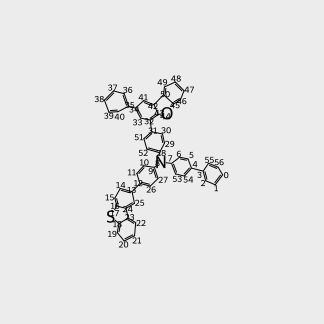 c1ccc(-c2ccc(N(c3ccc(-c4ccc5sc6ccccc6c5c4)cc3)c3ccc(-c4cc(-c5ccccc5)cc5c4oc4ccccc45)cc3)cc2)cc1